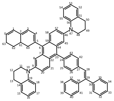 C1=CC2=CC=C(c3c4cc(N5CCCc6ccccc65)ccc4c(-c4ccc(C=C(c5ccccc5)c5ccccc5)cc4)c4cc(N5CCCc6ccccc65)ccc34)CC2CC1